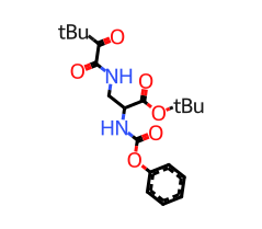 CC(C)(C)OC(=O)C(CNC(=O)C(=O)C(C)(C)C)NC(=O)Oc1ccccc1